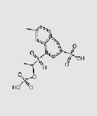 Cc1ccc2cc(S(=O)(=O)O)cc(S(=O)(=O)C(C)OS(=O)(=O)O)c2c1